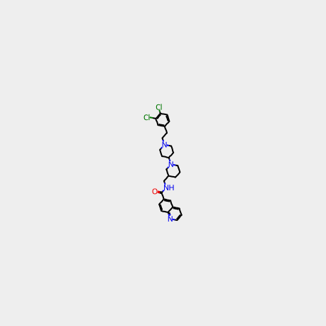 O=C(NCC1CCCN(C2CCN(CCc3ccc(Cl)c(Cl)c3)CC2)C1)c1ccc2ncccc2c1